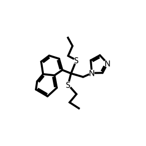 CCCSC(Cn1ccnc1)(SCCC)c1cccc2ccccc12